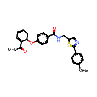 CNC(=O)C1=CC=CCC1Oc1ccc(C(=O)NCc2cnc(-c3ccc(OC)cc3)s2)cc1